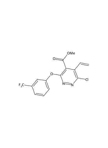 C=Cc1c(Cl)nnc(Oc2cccc(C(F)(F)F)c2)c1C(=O)OC